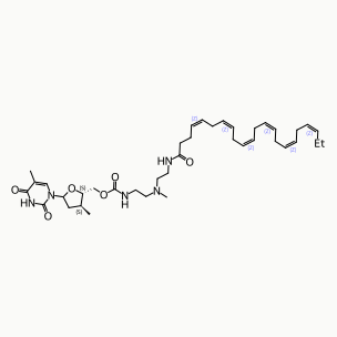 CC/C=C\C/C=C\C/C=C\C/C=C\C/C=C\C/C=C\CCC(=O)NCCN(C)CCNC(=O)OC[C@H]1OC(n2cc(C)c(=O)[nH]c2=O)C[C@@H]1C